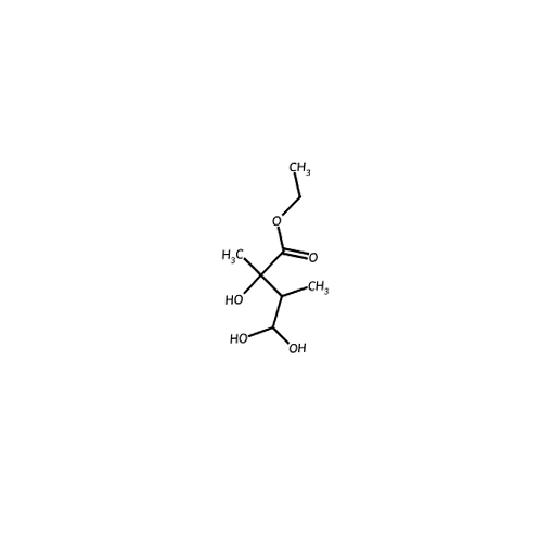 CCOC(=O)C(C)(O)C(C)C(O)O